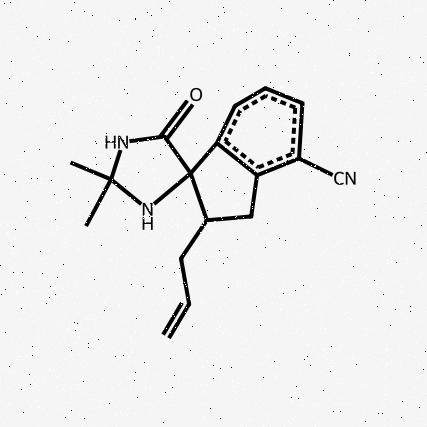 C=CCC1Cc2c(C#N)cccc2C12NC(C)(C)NC2=O